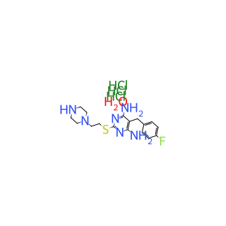 Cl.Cl.Cl.Nc1nc(SCCN2CCNCC2)nc(N)c1Cc1ccc(F)cc1.O